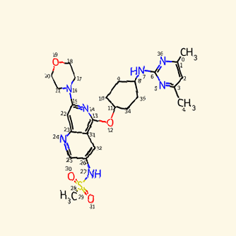 Cc1cc(C)nc(NC2CCC(Oc3nc(N4CCOCC4)cc4ncc(NS(C)(=O)=O)cc34)CC2)n1